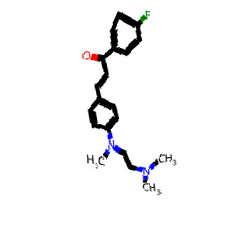 CN(C)CCN(C)c1ccc(/C=C/C(=O)c2ccc(F)cc2)cc1